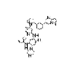 C=CC(=O)Nc1cc(Nc2cc(N3OCCC3c3cccc(-c4cnc5ccnn5c4)c3)ncn2)c(OC)cc1N1CCN(C)CC1